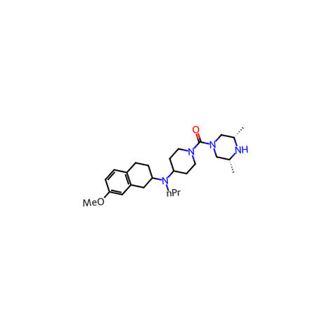 CCCN(C1CCN(C(=O)N2C[C@@H](C)N[C@@H](C)C2)CC1)C1CCc2ccc(OC)cc2C1